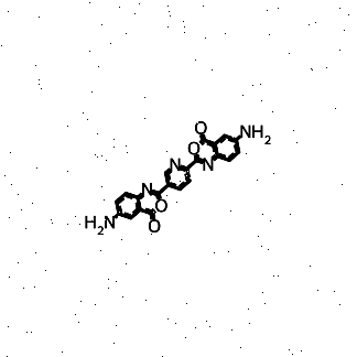 Nc1ccc2nc(-c3ccc(-c4nc5ccc(N)cc5c(=O)o4)nc3)oc(=O)c2c1